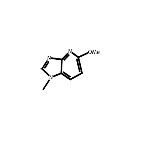 COc1ccc2c(n[c]n2C)n1